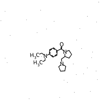 CCN(CC)c1ccc(C(=O)N2CCCC2CN2CCCC2)cc1